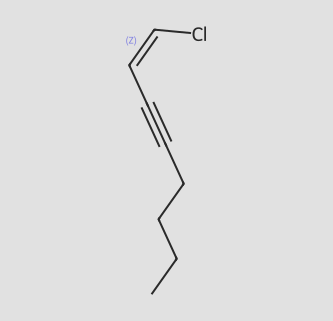 CCCCC#C/C=C\Cl